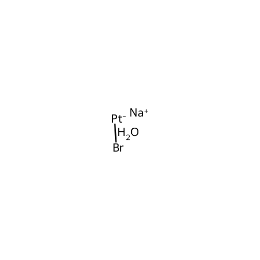 O.[Br][Pt-].[Na+]